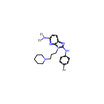 CCN(CC)c1ccc2nc(Nc3ccc(C(C)=O)cc3)n(CCCN3CCCCC3)c2n1